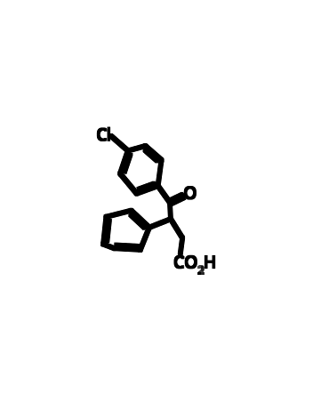 O=C(O)CC(C(=O)c1ccc(Cl)cc1)c1ccccc1